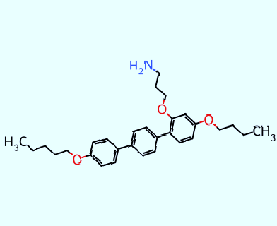 CCCCCOc1ccc(-c2ccc(-c3ccc(OCCCC)cc3OCCCN)cc2)cc1